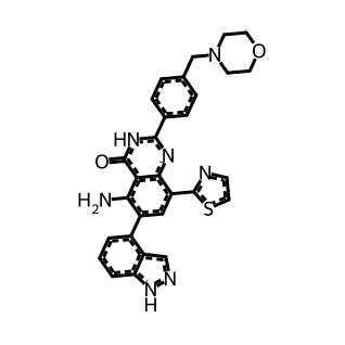 Nc1c(-c2cccc3[nH]ncc23)cc(-c2nccs2)c2nc(-c3ccc(CN4CCOCC4)cc3)[nH]c(=O)c12